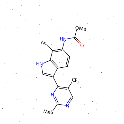 COC(=O)Nc1ccc2c(-c3nc(SC)ncc3C(F)(F)F)c[nH]c2c1C(C)=O